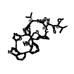 CO[C@H](C(=O)N[C@H]1Cc2ccc3c(c2)[C@]24c5cccc(c5NC2O3)-c2cccc3[nH]cc(c23)-c2cnc(o2)-c2nc(oc24)[C@H](C(C)C)NC1=O)C(C)C